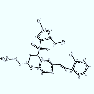 CCOc1nn(CC)cc1S(=O)(=O)N1CC(CCC(=O)O)Oc2ccc(C=Cc3nccnc3Cl)cc21